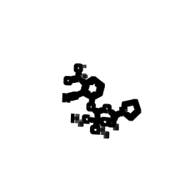 CC(C)(C)C(OC(=O)N1CCCC1)Oc1cccc([N+](=O)[O-])c1C#N